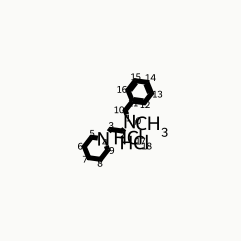 CN(CCN1CCCCC1)Cc1ccccc1.Cl.Cl